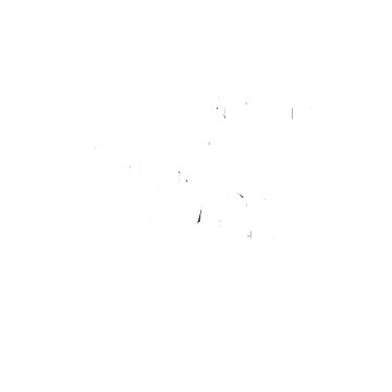 CCC[C@H]([C@H](O[Si](C)(C)C(C)(C)C)c1cncc(F)c1)N(C)C(=O)OC(C)(C)C